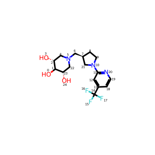 OC1[C@H](O)CN(C[C@H]2CCN(c3cc(C(F)(F)F)ccn3)C2)C[C@@H]1O